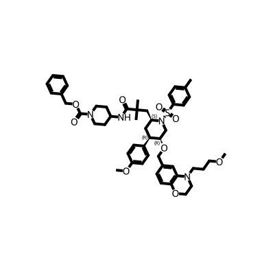 COCCCN1CCOc2ccc(CO[C@H]3CN(S(=O)(=O)c4ccc(C)cc4)[C@H](CC(C)(C)C(=O)NC4CCN(C(=O)OCc5ccccc5)CC4)C[C@@H]3c3ccc(OC)cc3)cc21